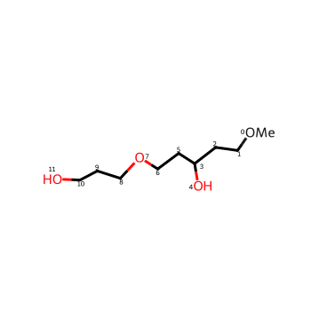 COCCC(O)CCOCCCO